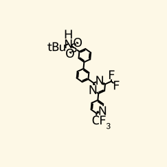 CC(C)(C)NS(=O)(=O)c1cccc(-c2cccc(-c3nc(-c4ccc(C(F)(F)F)nc4)cc(C(F)F)n3)c2)c1